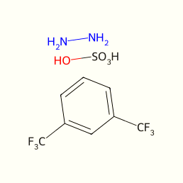 FC(F)(F)c1cccc(C(F)(F)F)c1.NN.O=S(=O)(O)O